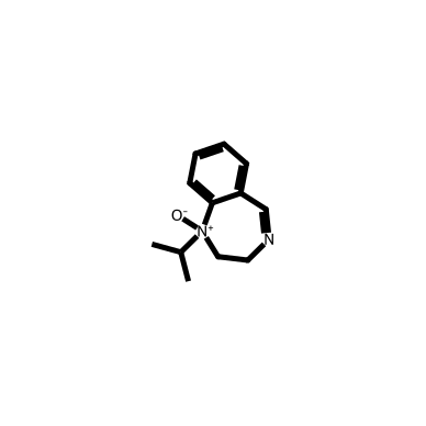 CC(C)[N+]1([O-])CCN=Cc2ccccc21